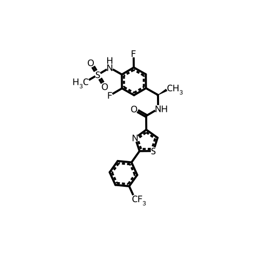 C[C@@H](NC(=O)c1csc(-c2cccc(C(F)(F)F)c2)n1)c1cc(F)c(NS(C)(=O)=O)c(F)c1